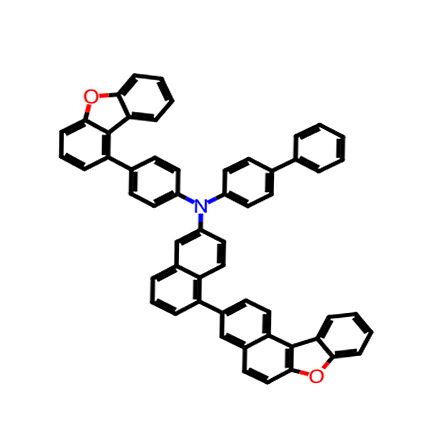 c1ccc(-c2ccc(N(c3ccc(-c4cccc5oc6ccccc6c45)cc3)c3ccc4c(-c5ccc6c(ccc7oc8ccccc8c76)c5)cccc4c3)cc2)cc1